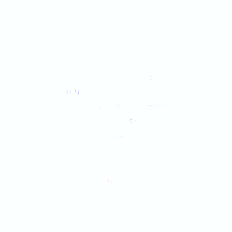 NCCOB(c1ccc(O)cc1)c1cccc2ccccc12